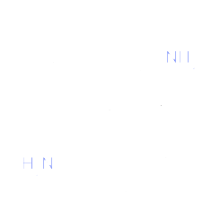 N[C@H]1CCCC12CCC[C@@H]2N